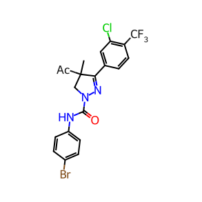 CC(=O)C1(C)CN(C(=O)Nc2ccc(Br)cc2)N=C1c1ccc(C(F)(F)F)c(Cl)c1